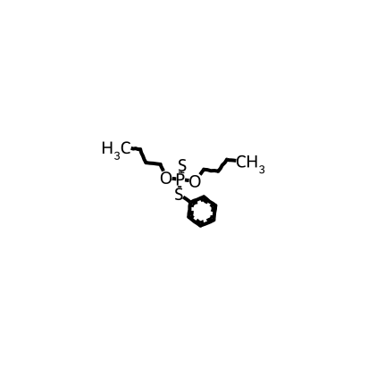 CCCCOP(=S)(OCCCC)Sc1ccccc1